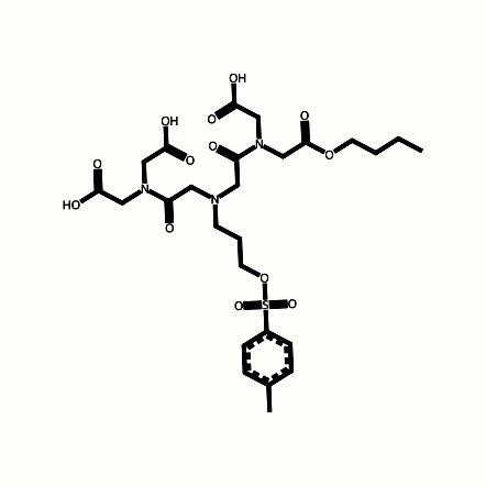 CCCCOC(=O)CN(CC(=O)O)C(=O)CN(CCCOS(=O)(=O)c1ccc(C)cc1)CC(=O)N(CC(=O)O)CC(=O)O